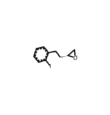 Ic1ccccc1CC[C@@H]1CO1